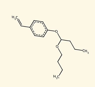 C=Cc1ccc(OC(CCC)OCCCC)cc1